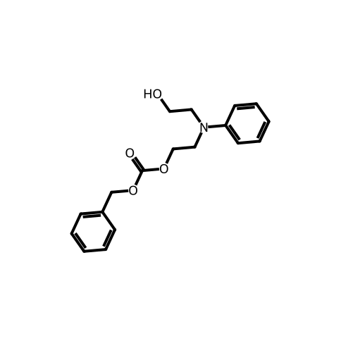 O=C(OCCN(CCO)c1ccccc1)OCc1ccccc1